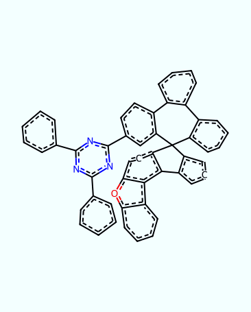 c1ccc(-c2nc(-c3ccccc3)nc(-c3ccc4c(c3)C3(c5ccccc5-c5ccccc5-4)c4ccccc4-c4c3ccc3oc5ccccc5c43)n2)cc1